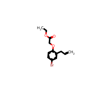 C=CCc1cc(Br)ccc1OCC(=O)OCC